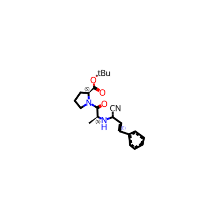 C[C@H](NC(C#N)/C=C/c1ccccc1)C(=O)N1CCC[C@H]1C(=O)OC(C)(C)C